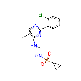 Cc1cnc(-c2ccccc2Cl)nc1NCNS(=O)(=O)C1CC1